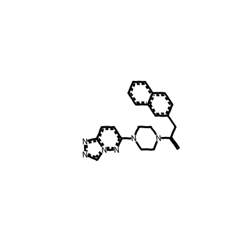 C=C(Cc1ccc2ccccc2c1)N1CCN(c2ccc3nncn3n2)CC1